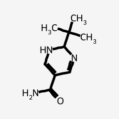 CC(C)(C)C1N=CC(C(N)=O)=CN1